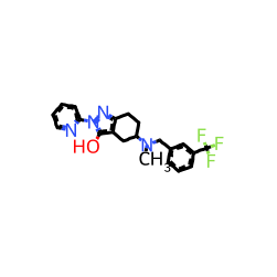 CN(Cc1cccc(C(F)(F)F)c1)C1CCc2nn(-c3ccccn3)c(O)c2C1